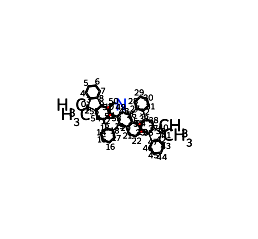 CC1(C)c2ccccc2-c2ccc(-c3ccccc3-c3c4ccccc4c(-c4ccccc4-c4ccc5c(c4)C(C)(C)c4ccccc4-5)c4ncccc34)cc21